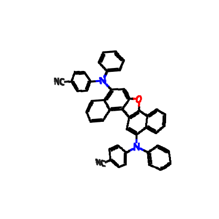 N#Cc1ccc(N(c2ccccc2)c2cc3c(oc4cc(N(c5ccccc5)c5ccc(C#N)cc5)c5ccccc5c43)c3ccccc23)cc1